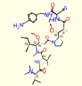 CC[C@H](C)[C@@H]([C@@H](CC(=O)N1CCC[C@H]1[C@H](OC)[C@@H](C)C(=O)NC(C#N)C(=O)NCc1ccc(N)cc1)OC)N(C)C(=O)[C@@H](NC(=O)[C@H](C(C)C)N(C)C)C(C)C